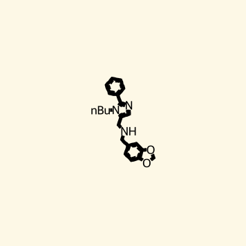 CCCCn1c(CNCc2ccc3c(c2)OCO3)cnc1-c1ccccc1